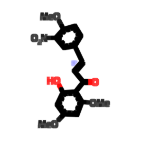 COc1cc(O)c(C(=O)/C=C/c2ccc(OC)c([N+](=O)[O-])c2)c(OC)c1